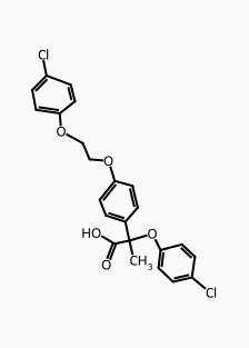 CC(Oc1ccc(Cl)cc1)(C(=O)O)c1ccc(OCCOc2ccc(Cl)cc2)cc1